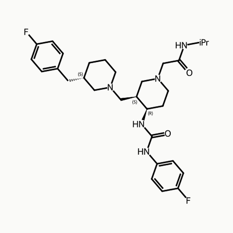 CC(C)NC(=O)CN1CC[C@@H](NC(=O)Nc2ccc(F)cc2)[C@@H](CN2CCC[C@@H](Cc3ccc(F)cc3)C2)C1